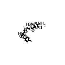 Cc1ccc(CS(=O)(=O)NCC[N+](C)(C)CCNC(=O)c2nc(Cl)c(N)nc2N)cc1